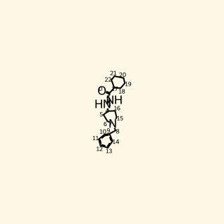 O=C(NNC1CCN(Cc2ccccc2)CC1)C1CCCCC1